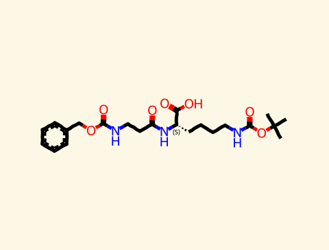 CC(C)(C)OC(=O)NCCCC[C@H](NC(=O)CCNC(=O)OCc1ccccc1)C(=O)O